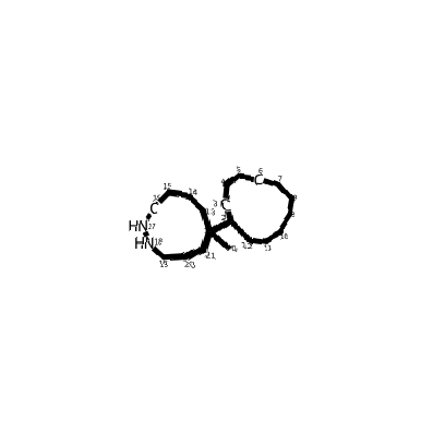 CC1(C2CCCCCCCCCC2)CCCCNNCCC1